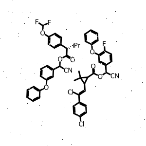 CC(C)[C@H](C(=O)OC(C#N)c1cccc(Oc2ccccc2)c1)c1ccc(OC(F)F)cc1.CC1(C)C(/C=C(\Cl)c2ccc(Cl)cc2)C1C(=O)OC(C#N)c1ccc(F)c(Oc2ccccc2)c1